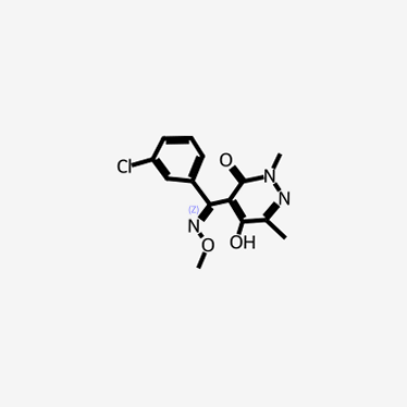 CO/N=C(/c1cccc(Cl)c1)c1c(O)c(C)nn(C)c1=O